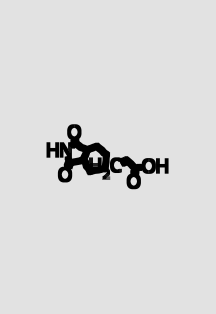 C=CC(=O)O.O=C1NC(=O)C2CCCCC12